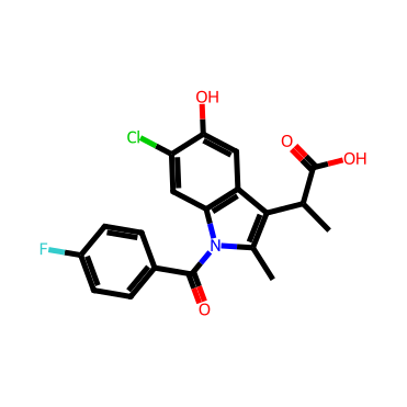 Cc1c(C(C)C(=O)O)c2cc(O)c(Cl)cc2n1C(=O)c1ccc(F)cc1